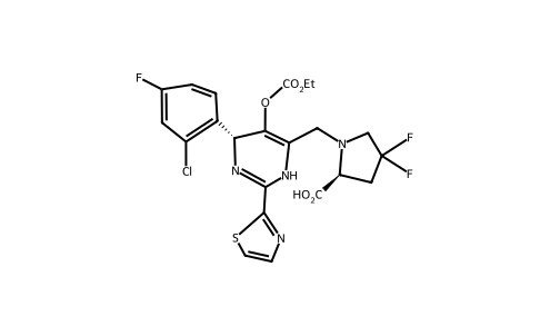 CCOC(=O)OC1=C(CN2CC(F)(F)C[C@H]2C(=O)O)NC(c2nccs2)=N[C@@H]1c1ccc(F)cc1Cl